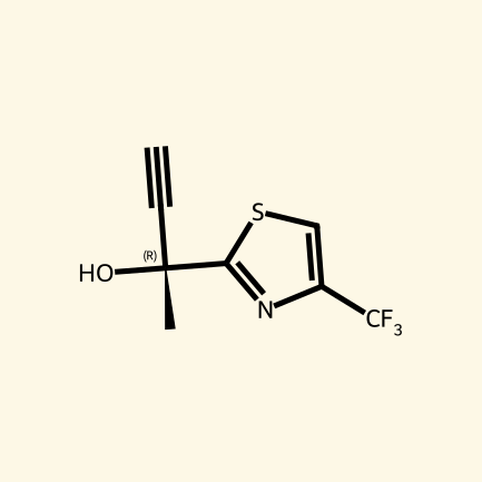 C#C[C@@](C)(O)c1nc(C(F)(F)F)cs1